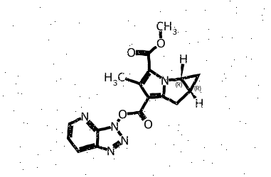 COC(=O)c1c(C)c(C(=O)On2nnc3cccnc32)c2n1[C@@H]1C[C@@H]1C2